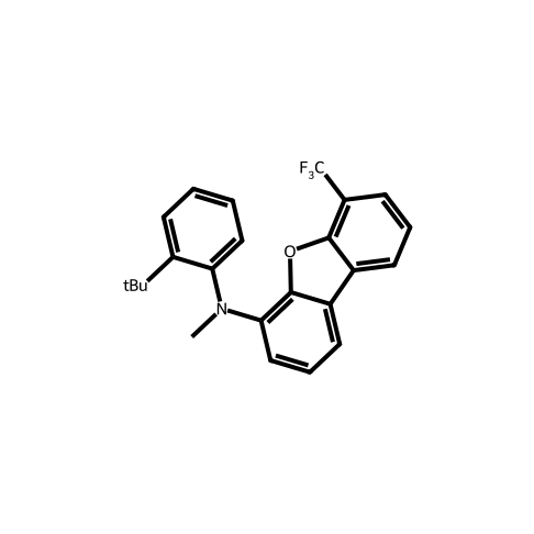 CN(c1ccccc1C(C)(C)C)c1cccc2c1oc1c(C(F)(F)F)cccc12